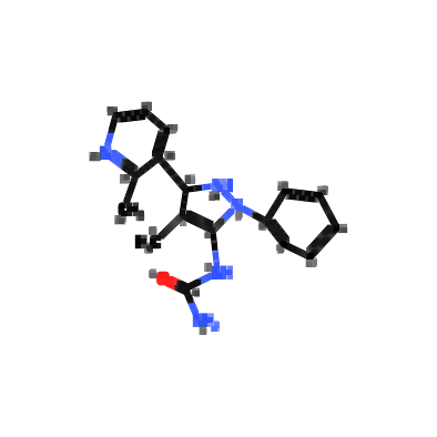 CC1=C(NC(N)=O)N(c2ccccc2)NC1c1cccnc1C